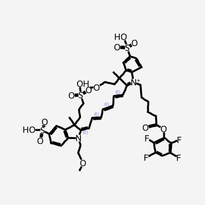 COCCN1/C(=C/C=C/C=C/C=C/C2=[N+](CCCCCC(=O)Oc3c(F)c(F)cc(F)c3F)c3ccc(S(=O)(=O)O)cc3C2(C)CCOC)C(C)(CCCS(=O)(=O)O)c2cc(S(=O)(=O)O)ccc21